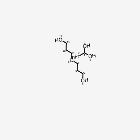 CCCC(O)O.OCCCOCCCO